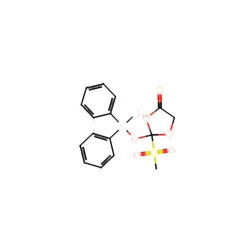 CC(C)(C)[Si](OC1(S(C)(=O)=O)OCC(=O)O1)(c1ccccc1)c1ccccc1